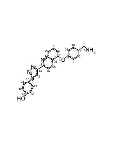 NCc1ccc(Oc2cccc3nc(-c4cn(-c5ccc(O)cc5)nn4)ccc23)cc1